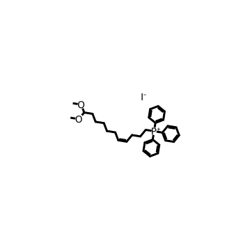 COC(CCCCC/C=C\CCC[P+](c1ccccc1)(c1ccccc1)c1ccccc1)OC.[I-]